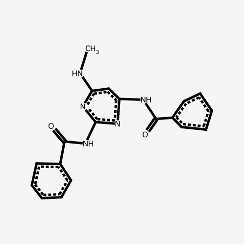 CNc1cc(NC(=O)c2ccccc2)nc(NC(=O)c2ccccc2)n1